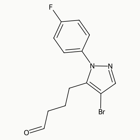 O=CCCCc1c(Br)cnn1-c1ccc(F)cc1